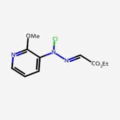 CCOC(=O)C=NN(Cl)c1cccnc1OC